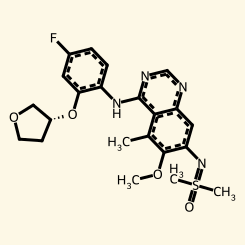 COc1c(N=S(C)(C)=O)cc2ncnc(Nc3ccc(F)cc3O[C@@H]3CCOC3)c2c1C